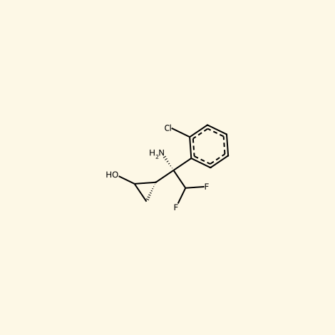 N[C@](c1ccccc1Cl)(C(F)F)[C@@H]1CC1O